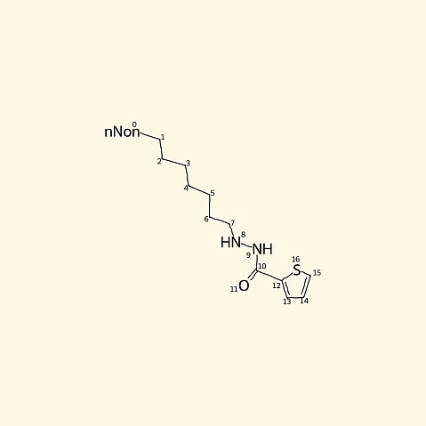 CCCCCCCCCCCCCCCCNNC(=O)c1cccs1